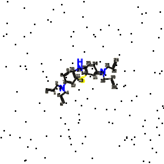 C=CCN(CC=C)c1ccc2c(c1)Sc1cc(N(CC=C)CC=C)ccc1N2